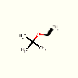 [CH2]C(C)(C)OC=C